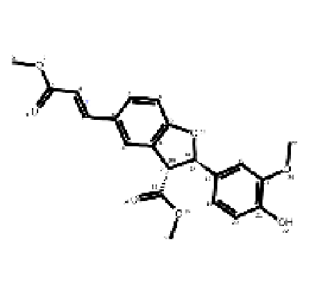 COC(=O)/C=C/c1ccc2c(c1)[C@@H](C(=O)OC)[C@H](c1ccc(O)c(OC)c1)O2